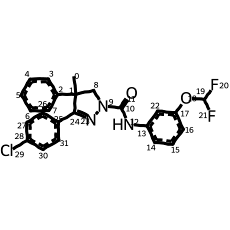 CC1(c2ccccc2)CN(C(=O)Nc2cccc(OC(F)F)c2)N=C1c1ccc(Cl)cc1